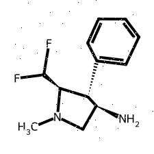 CN1C[C@H](N)[C@@H](c2ccccc2)[C@@H]1C(F)F